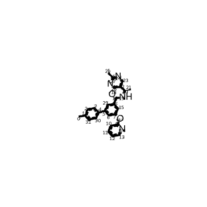 Cc1ccc(-c2cc(Oc3ccccn3)cc(C(=O)N[C@H](C)c3cnc(C)nc3)c2)cc1